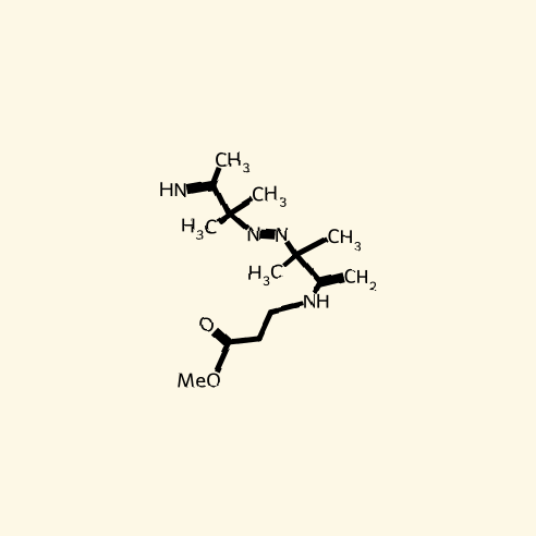 C=C(NCCC(=O)OC)C(C)(C)N=NC(C)(C)C(C)=N